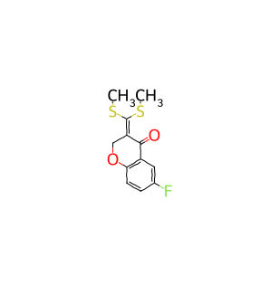 CSC(SC)=C1COc2ccc(F)cc2C1=O